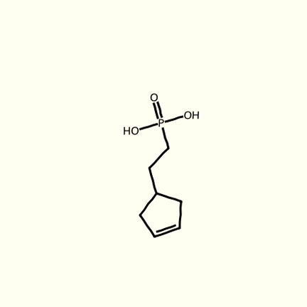 O=P(O)(O)CCC1CC=CC1